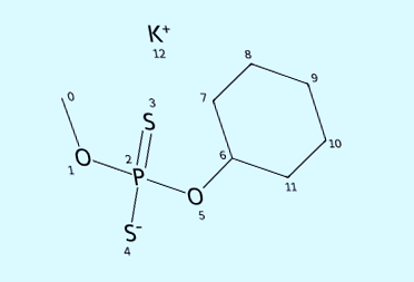 COP(=S)([S-])OC1CCCCC1.[K+]